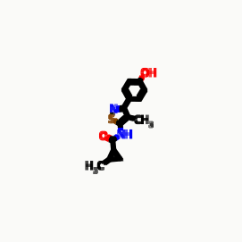 Cc1c(-c2ccc(O)cc2)nsc1NC(=O)C1CC1C